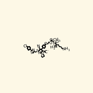 [C-]#[N+]c1c(N2CCCC2)nc(SCc2csc(-c3ccc(Cl)cc3)n2)c(C#N)c1-c1ccc(OCCOC(=O)[C@H](C)NC(=O)[C@@H](N)CCCCN)cc1